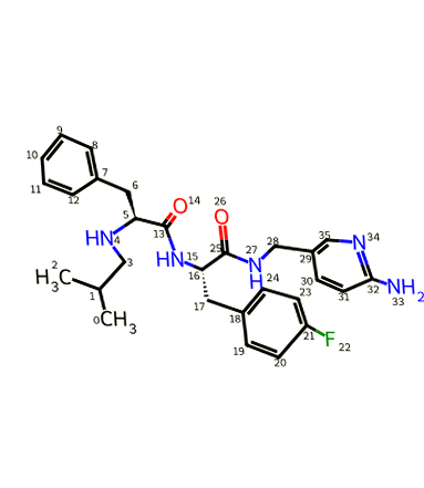 CC(C)CN[C@@H](Cc1ccccc1)C(=O)N[C@@H](Cc1ccc(F)cc1)C(=O)NCc1ccc(N)nc1